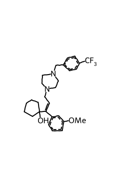 COc1cccc(C(=CCN2CCN(Cc3ccc(C(F)(F)F)cc3)CC2)C2(O)CCCCC2)c1